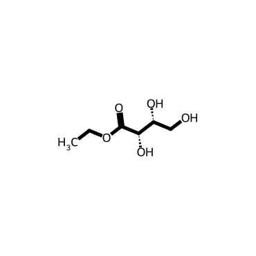 CCOC(=O)[C@@H](O)[C@H](O)CO